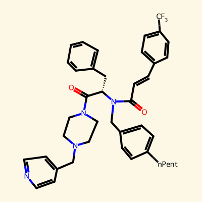 CCCCCc1ccc(CN(C(=O)/C=C/c2ccc(C(F)(F)F)cc2)[C@@H](Cc2ccccc2)C(=O)N2CCN(Cc3ccncc3)CC2)cc1